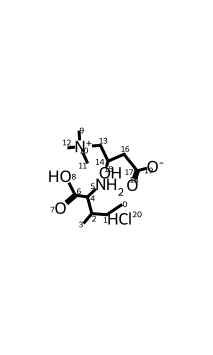 CCC(C)C(N)C(=O)O.C[N+](C)(C)CC(O)CC(=O)[O-].Cl